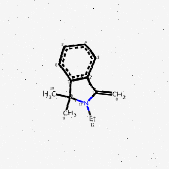 C=C1c2ccccc2C(C)(C)N1CC